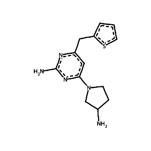 Nc1nc(Cc2cccs2)cc(N2CCC(N)C2)n1